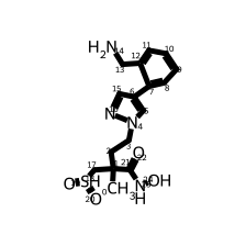 CC(CCn1cc(-c2ccccc2CN)cn1)(C[SH](=O)=O)C(=O)NO